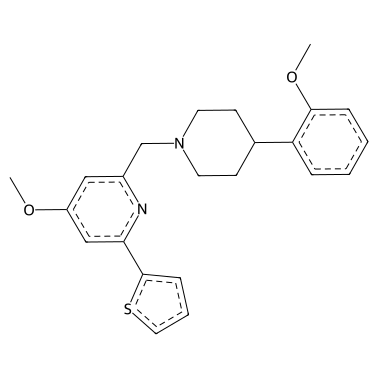 COc1cc(CN2CCC(c3ccccc3OC)CC2)nc(-c2cccs2)c1